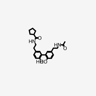 CC(=O)NCCc1ccc(O)c(-c2cc(CCNC(=O)C3CCCC3)ccc2O)c1